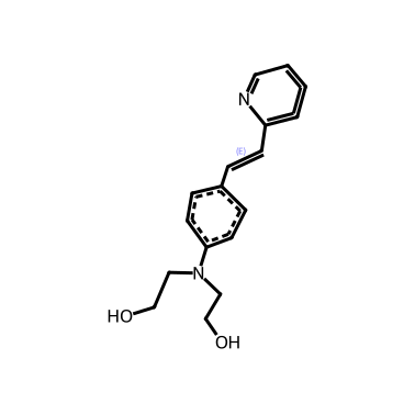 OCCN(CCO)c1ccc(/C=C/C2=C=C=CC=N2)cc1